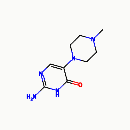 CN1CCN(c2cnc(N)[nH]c2=O)CC1